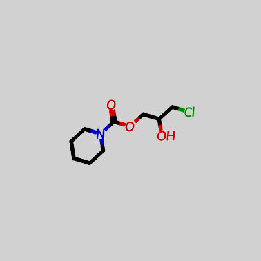 O=C(OCC(O)CCl)N1CCCCC1